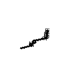 CCCCCCCCc1cnc(-c2ccc(CCCCCCOCC(F)(F)OC(F)(F)C(F)(F)OC(F)(F)F)cc2)nc1